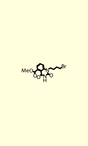 COC(=O)c1cccc2c1c(=O)[nH]c(=O)n2CCCCBr